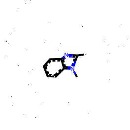 [CH2]c1nc2ccccc2n1C